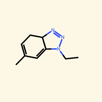 CCN1N=NC2CC=C(C)C=C21